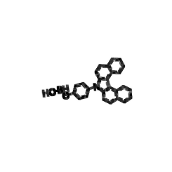 OBOc1ccc(-n2c3ccc4ccccc4c3c3c4ccccc4ccc32)cc1